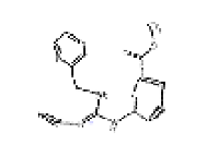 COC(=O)c1cccc(N/C(=N/C#N)NCc2ccccn2)c1